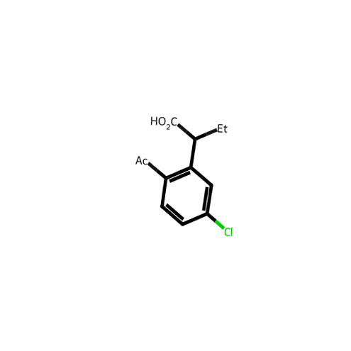 CCC(C(=O)O)c1cc(Cl)ccc1C(C)=O